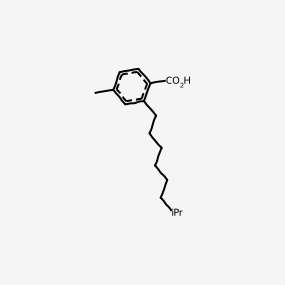 Cc1ccc(C(=O)O)c(CCCCCCC(C)C)c1